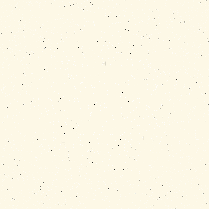 COc1ccc2c(c1)C(CCC(C)=O)=CC(C)(C)CO2